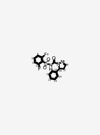 O=C(NS(=O)(=O)c1c(F)cccc1F)N1N=CCC1c1ccccc1